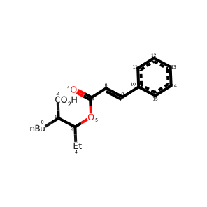 CCCCC(C(=O)O)C(CC)OC(=O)C=Cc1ccccc1